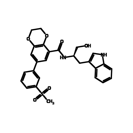 CS(=O)(=O)c1cccc(-c2cc3c(c(C(=O)N[C@@H](CO)Cc4c[nH]c5ccccc45)c2)OCCO3)c1